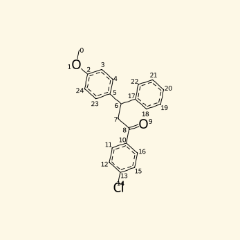 COc1ccc(C(CC(=O)c2ccc(Cl)cc2)c2ccccc2)cc1